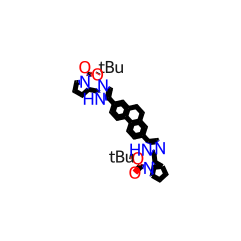 CC(C)(C)OC(=O)N1CCCC1c1ncc(-c2ccc3c(c2)CCc2cc(-c4cnc(C5C6CCC(C6)N5C(=O)OC(C)(C)C)[nH]4)ccc2-3)[nH]1